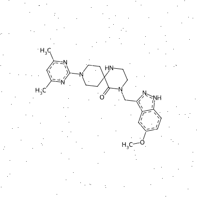 COc1ccc2[nH]nc(CN3CCNC4(CCN(c5nc(C)cc(C)n5)CC4)C3=O)c2c1